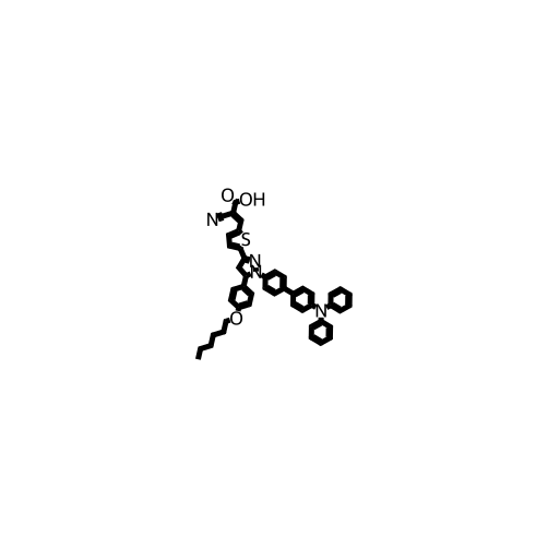 CCCCCCOc1ccc(C2CC(c3ccc(/C=C(\C#N)C(=O)O)s3)=NN2c2ccc(-c3ccc(N(c4ccccc4)c4ccccc4)cc3)cc2)cc1